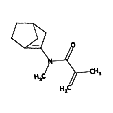 C=C(C)C(=O)N(C)C1=C2CCC(C2)C1